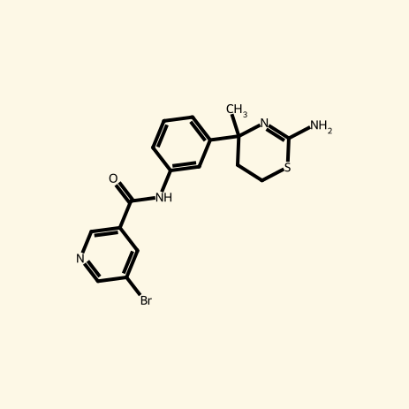 CC1(c2cccc(NC(=O)c3cncc(Br)c3)c2)CCSC(N)=N1